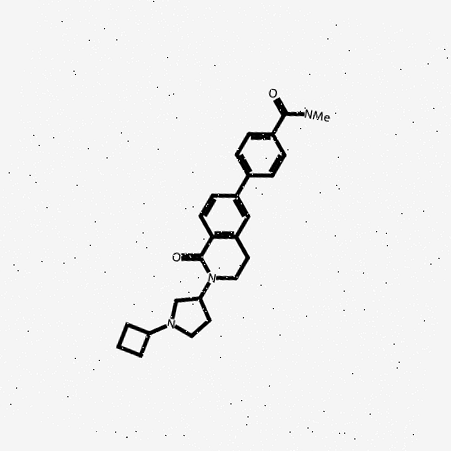 CNC(=O)c1ccc(-c2ccc3c(c2)CCN(C2CCN(C4CCC4)C2)C3=O)cc1